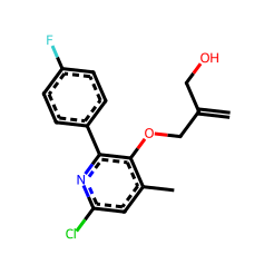 C=C(CO)COc1c(C)cc(Cl)nc1-c1ccc(F)cc1